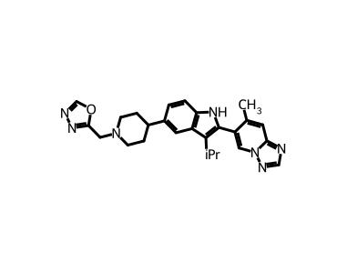 Cc1cc2ncnn2cc1-c1[nH]c2ccc(C3CCN(Cc4nnco4)CC3)cc2c1C(C)C